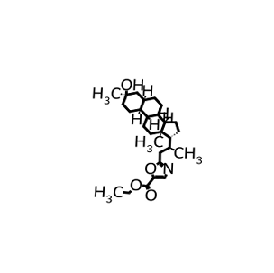 CCOC(=O)c1cnc(C[C@H](C)[C@H]2CC[C@H]3[C@@H]4CC[C@@H]5C[C@](C)(O)CC[C@@H]5[C@H]4CC[C@]23C)o1